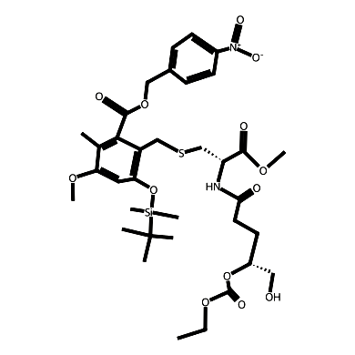 CCOC(=O)O[C@@H](CO)CCC(=O)N[C@H](CSCc1c(O[Si](C)(C)C(C)(C)C)cc(OC)c(C)c1C(=O)OCc1ccc([N+](=O)[O-])cc1)C(=O)OC